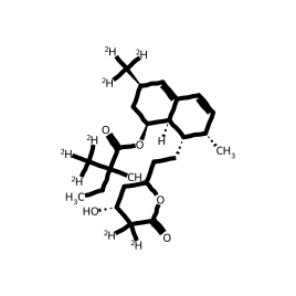 [2H]C([2H])([2H])[C@H]1C=C2C=C[C@H](C)[C@H](CCC3C[C@@H](O)C([2H])([2H])C(=O)O3)[C@H]2[C@@H](OC(=O)C(C)(CC)C([2H])([2H])[2H])C1